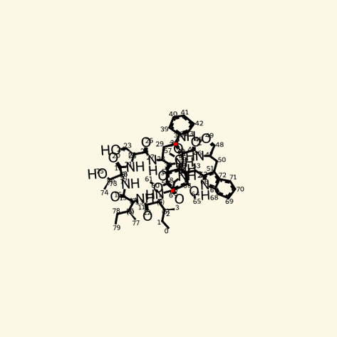 CC[C@H](C)[C@H](NC(=O)CNN)C(=O)N[C@H](C(=O)N[C@H](C(=O)N[C@@H](CO)C(=O)NC(CC(N)=O)C(=O)N[C@@H](Cc1ccccc1)C(=O)NC(C=O)Cc1c(Cc2c(OC)cc(OC)cc2OC)[nH]c2ccccc12)[C@@H](C)O)[C@@H](C)CC